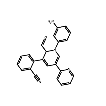 N#Cc1ccccc1C1=CC(c2ccccn2)=CN(c2cccc(N)c2)C1C=O